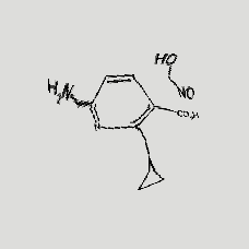 Nc1ccc(C(=O)O)c(C2CC2)n1.O=NO